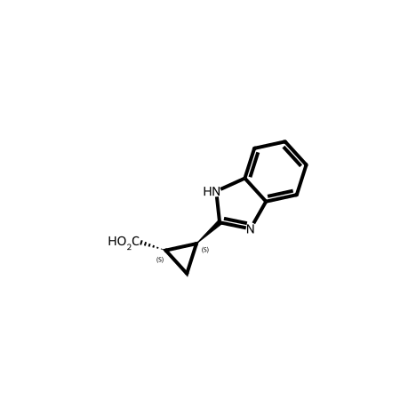 O=C(O)[C@H]1C[C@@H]1c1nc2ccccc2[nH]1